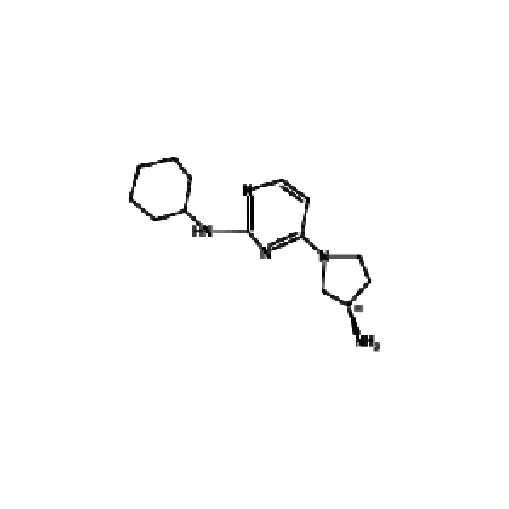 N[C@@H]1CCN(c2ccnc(NC3CCCCC3)n2)C1